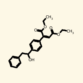 CCOC(=O)C=C(C(=O)OCC)c1ccc(C(O)Cc2ccccc2)cc1